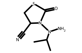 CC(C)N(N)N1C(=O)SCC1C#N